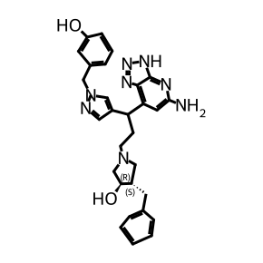 Nc1cc(C(CCN2C[C@H](Cc3ccccc3)[C@@H](O)C2)c2cnn(Cc3cccc(O)c3)c2)c2nn[nH]c2n1